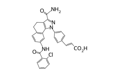 NC(=O)c1nn(-c2ccc(/C=C/C(=O)O)cc2)c2c1CCc1ccc(NC(=O)c3ccccc3Cl)cc1-2